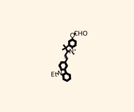 CCn1c2ccccc2c2cc(/C=C/C3=[N+](C)c4ccc(OC=O)cc4C3(C)C)ccc21